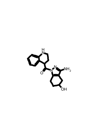 Nc1nn(C(=O)C2CCNc3ccccc32)c2c1CC(O)CC2